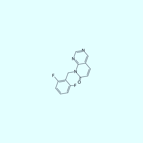 O=c1ccc2cncnc2n1Cc1c(F)cccc1F